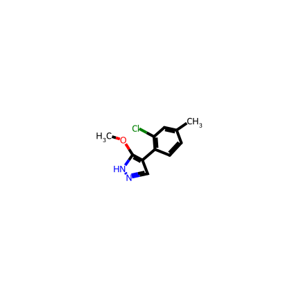 COc1[nH]ncc1-c1ccc(C)cc1Cl